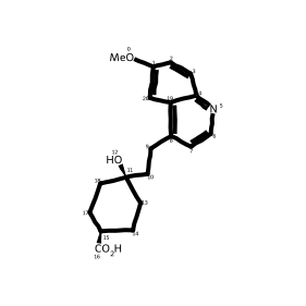 COc1ccc2nccc(CC[C@]3(O)CC[C@@H](C(=O)O)CC3)c2c1